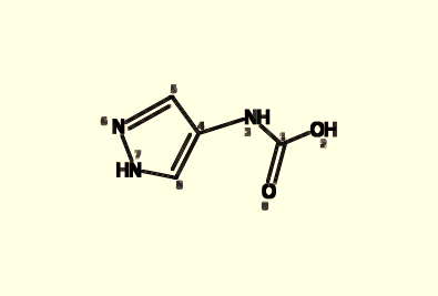 O=C(O)Nc1cn[nH]c1